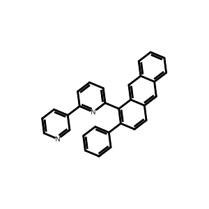 c1ccc(-c2ccc3cc4ccccc4cc3c2-c2cccc(-c3cccnc3)n2)cc1